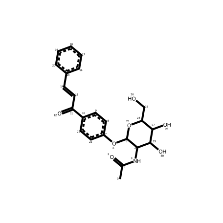 CC(=O)NC1C(Oc2ccc(C(=O)C=Cc3ccccc3)cc2)OC(CO)C(O)C1O